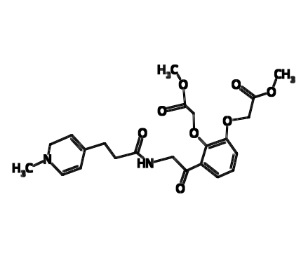 COC(=O)COc1cccc(C(=O)CNC(=O)CCC2=CCN(C)C=C2)c1OCC(=O)OC